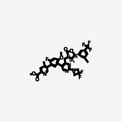 COC(=O)c1cc(C)c(-c2cc(-c3cnc(N4CC(F)(F)C4)nc3CN3C(=O)O[C@H](c4cc(C)cc(C(F)(F)F)c4)[C@@H]3C)c(OC)cc2F)cn1